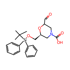 CC(C)(C)[Si](OC[C@@H]1CN(C(=O)O)CC(C=O)O1)(c1ccccc1)c1ccccc1